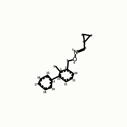 Cc1c(CON=CC2CC2)cccc1-c1ccccc1